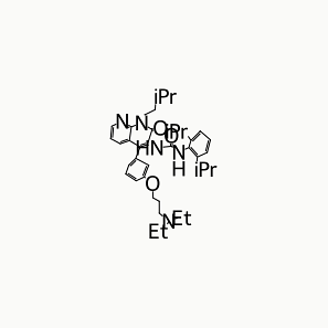 CCN(CC)CCCOc1cccc(-c2c(NC(=O)Nc3c(C(C)C)cccc3C(C)C)c(=O)n(CCC(C)C)c3ncccc23)c1